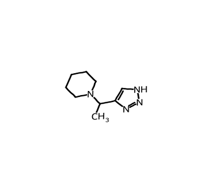 CC(c1c[nH]nn1)N1CCCCC1